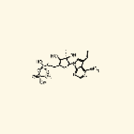 C=Cc1cn(C2OC(COP(=O)(O)OP(=O)(O)O)C(O)[C@@]2(C)O)c2ncnc(N)c12